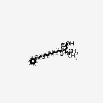 CN(C)CC(CC(=O)O)NC(=O)CCCCCCCOCCOc1ccccc1